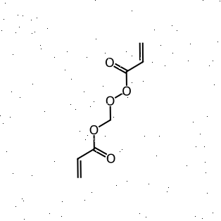 C=CC(=O)OCOOC(=O)C=C